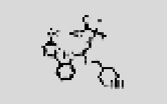 CC(=O)c1csc(-c2ccccc2NC(=O)OCC2CCNCC2)n1.O=C(O)C(F)(F)F